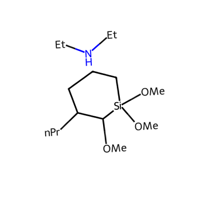 CCCC1CCC[Si](OC)(OC)C1OC.CCNCC